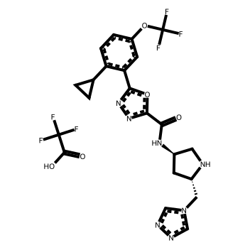 O=C(N[C@H]1CN[C@H](Cn2cnnc2)C1)c1nnc(-c2cc(OC(F)(F)F)ccc2C2CC2)o1.O=C(O)C(F)(F)F